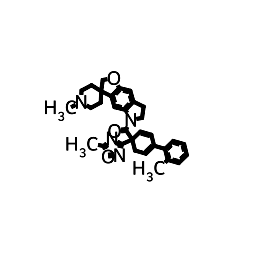 Cc1nc(C2(C(=O)N3CCc4cc5c(cc43)C3(CCN(C)CC3)CO5)C=CC(c3ccccc3C)=CC2)no1